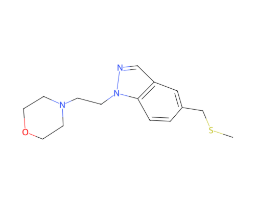 CSCc1ccc2c(cnn2CCN2CCOCC2)c1